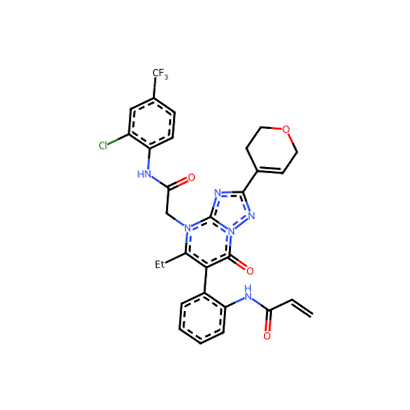 C=CC(=O)Nc1ccccc1-c1c(CC)n(CC(=O)Nc2ccc(C(F)(F)F)cc2Cl)c2nc(C3=CCOCC3)nn2c1=O